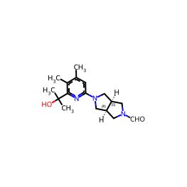 Cc1cc(N2C[C@H]3CN(C=O)C[C@H]3C2)nc(C(C)(C)O)c1C